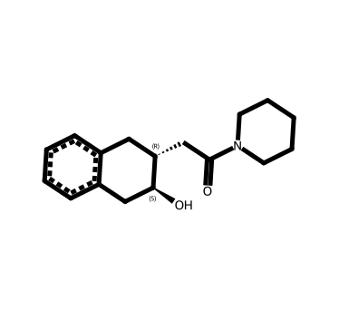 O=C(C[C@H]1Cc2ccccc2C[C@@H]1O)N1CCCCC1